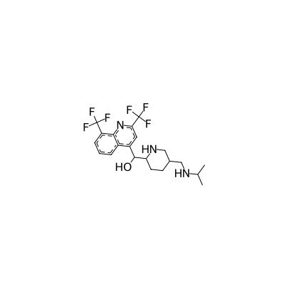 CC(C)NCC1CCC(C(O)c2cc(C(F)(F)F)nc3c(C(F)(F)F)cccc23)NC1